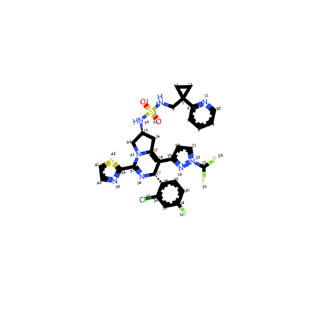 O=S(=O)(NCC1(c2ccccn2)CC1)N[C@H]1CC2=C(c3ccn(C(F)F)n3)[C@H](c3ccc(F)cc3Cl)N=C(c3nccs3)N2C1